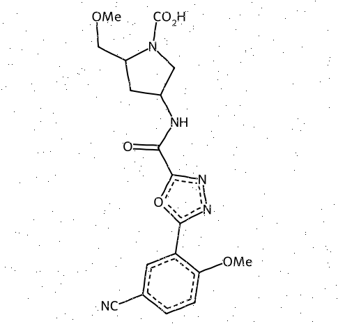 COCC1CC(NC(=O)c2nnc(-c3cc(C#N)ccc3OC)o2)CN1C(=O)O